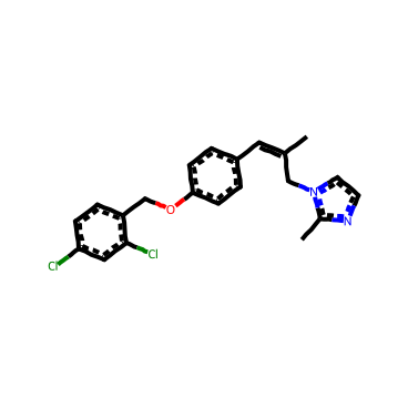 CC(=Cc1ccc(OCc2ccc(Cl)cc2Cl)cc1)Cn1ccnc1C